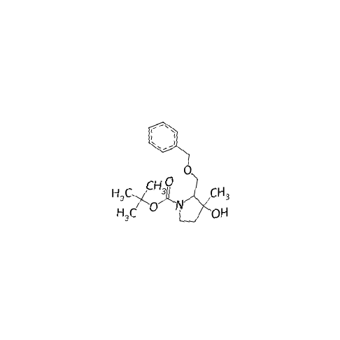 CC(C)(C)OC(=O)N1CCC(C)(O)C1COCc1ccccc1